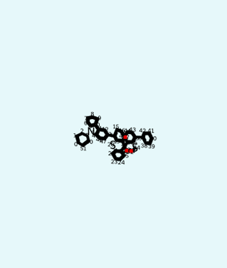 C1=CCC(n2c3ccccc3c3cc(-c4cccc5c4Sc4ccccc4C54c5ccccc5Sc5c(-c6ccccc6)cccc54)ccc32)C=C1